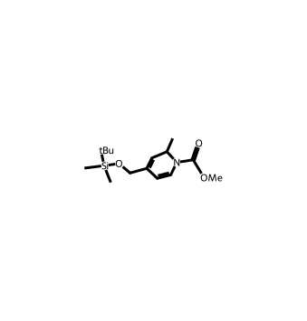 COC(=O)N1C=CC(CO[Si](C)(C)C(C)(C)C)=CC1C